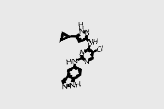 Clc1cnc(Nc2ccc3[nH]ncc3c2)nc1Nc1cc(C2CC2)[nH]n1